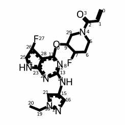 C=CC(=O)N1CCC(F)C(Oc2nc(Nc3cnn(CC)c3)nc3[nH]cc(F)c23)C1